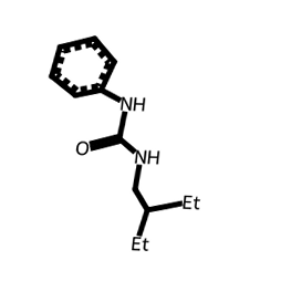 CCC(CC)CNC(=O)Nc1ccccc1